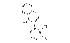 O=C1C(c2cccc(Cl)c2Cl)=CCc2ccccc21